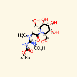 CN(CC(=O)N1[C@H](CO)[C@H](O)[C@H](O)[C@H](O)[C@H]1CO)C(=NC(=O)O)NC(=O)OC(C)(C)C